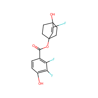 O=C(OC12C=C(F)C(O)(CC1)CC2)c1ccc(O)c(F)c1F